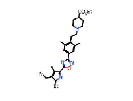 CCOC(=O)C1CCN(CCc2c(C)cc(-c3noc(C4=NC(CC)C(CC(C)C)=C4C)n3)cc2C)CC1